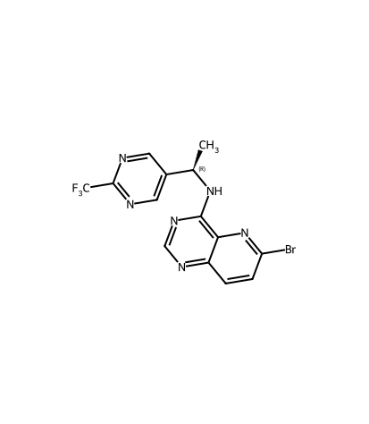 C[C@@H](Nc1ncnc2ccc(Br)nc12)c1cnc(C(F)(F)F)nc1